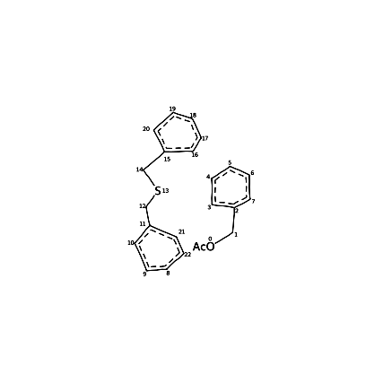 CC(=O)OCc1ccccc1.c1ccc(CSCc2ccccc2)cc1